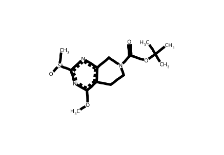 COc1nc([S+](C)[O-])nc2c1CCN(C(=O)OC(C)(C)C)C2